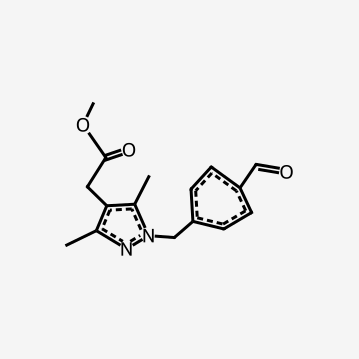 COC(=O)Cc1c(C)nn(Cc2ccc(C=O)cc2)c1C